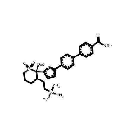 CNC(=O)c1ccc(-c2ccc(-c3ccc([C@]4(OC(C)=O)C(CC[Si](C)(C)C)CCCS4(=O)=O)s3)cc2)cc1